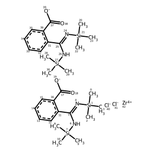 C[Si](C)(C)N=C(N[Si](C)(C)C)c1ccccc1C(=O)[O-].C[Si](C)(C)N=C(N[Si](C)(C)C)c1ccccc1C(=O)[O-].[Cl-].[Cl-].[Zr+4]